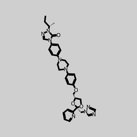 CC[C@H](C)n1ncn(-c2ccc(N3CCN(c4ccc(OC[C@@H]5CO[C@@](Cn6cncn6)(c6ccccn6)O5)cc4)CC3)cc2)c1=O